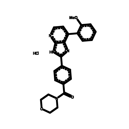 COc1ccccc1-c1ccnc2[nH]c(-c3ccc(C(=O)N4CCOCC4)cc3)nc12.Cl